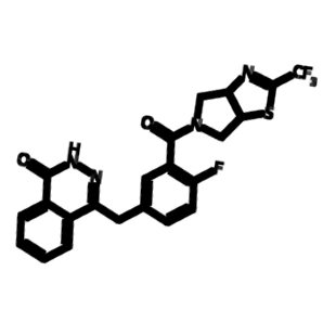 O=C(c1cc(Cc2n[nH]c(=O)c3ccccc23)ccc1F)N1CC2N=C(C(F)(F)F)SC2C1